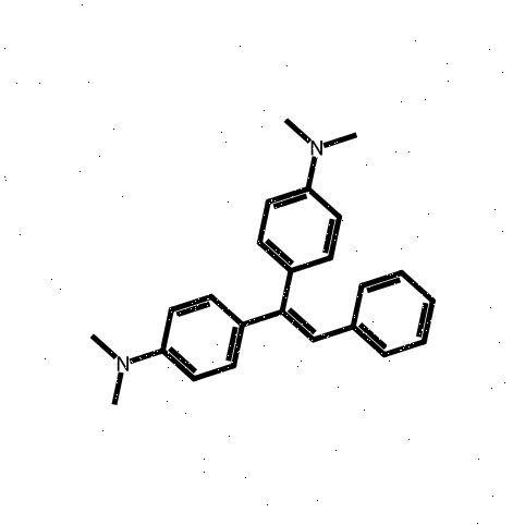 CN(C)c1ccc(C(=Cc2ccccc2)c2ccc(N(C)C)cc2)cc1